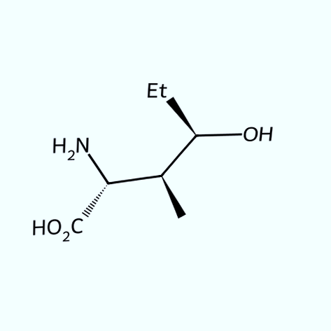 CC[C@@H](O)[C@@H](C)[C@@H](N)C(=O)O